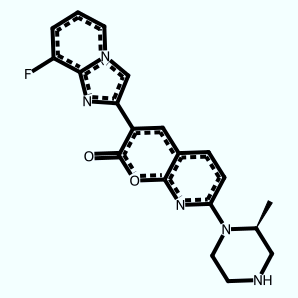 C[C@H]1CNCCN1c1ccc2cc(-c3cn4cccc(F)c4n3)c(=O)oc2n1